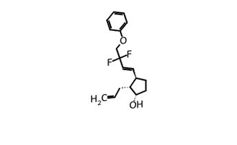 C=CC[C@H]1[C@@H](O)CC[C@@H]1/C=C/C(F)(F)COc1ccccc1